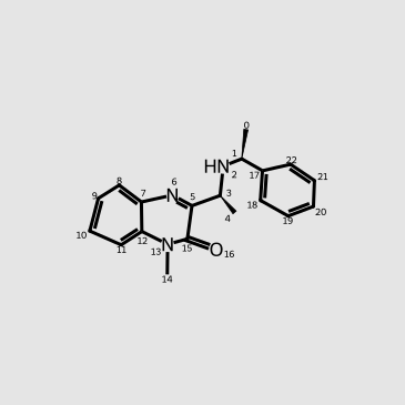 C[C@H](N[C@@H](C)c1nc2ccccc2n(C)c1=O)c1ccccc1